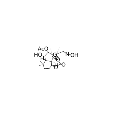 CC(=O)O[C@H]1[C@@H](O)[C@H]2C(C)(C)CC[C@H]3OC(=O)O[C@@]4(C(=O)C[C@](C)(C=NO)O[C@]14C)[C@@]32C